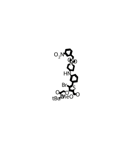 COC(=O)c1sc(-c2cccc(NC3CCN(S(=O)(=O)Cc4cccc([N+](=O)[O-])c4)CC3)c2)c(Br)c1OCC(=O)OC(C)(C)C